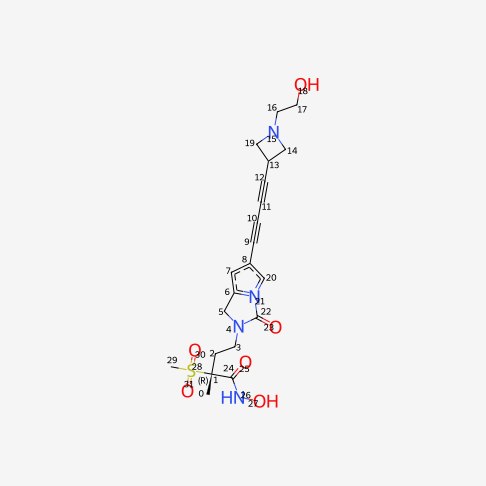 C[C@@](CCN1Cc2cc(C#CC#CC3CN(CCO)C3)cn2C1=O)(C(=O)NO)S(C)(=O)=O